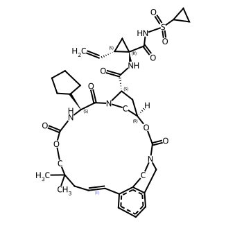 C=C[C@@H]1C[C@]1(NC(=O)[C@@H]1C[C@@H]2CN1C(=O)[C@H](C1CCCC1)NC(=O)OCC(C)(C)C/C=C/c1cccc3c1CN(C3)C(=O)O2)C(=O)NS(=O)(=O)C1CC1